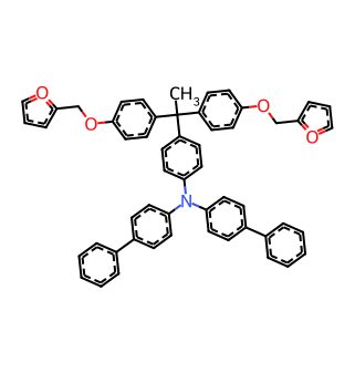 CC(c1ccc(OCc2ccco2)cc1)(c1ccc(OCc2ccco2)cc1)c1ccc(N(c2ccc(-c3ccccc3)cc2)c2ccc(-c3ccccc3)cc2)cc1